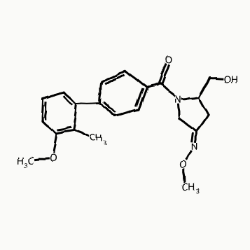 CO/N=C1/CC(CO)N(C(=O)c2ccc(-c3cccc(OC)c3C)cc2)C1